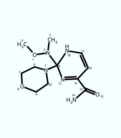 CON(C)C1(N2CCOCC2)N=C(C(N)=O)C=CN1